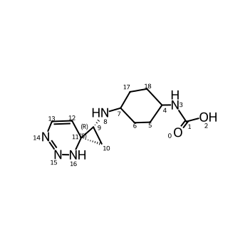 O=C(O)NC1CCC(N[C@@H]2C[C@]23C=CN=NN3)CC1